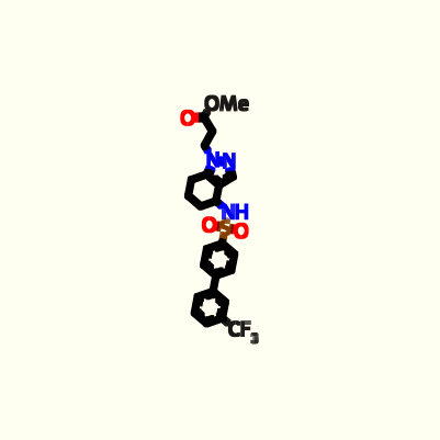 COC(=O)CCn1ncc2c1CCCC2NS(=O)(=O)c1ccc(-c2cccc(C(F)(F)F)c2)cc1